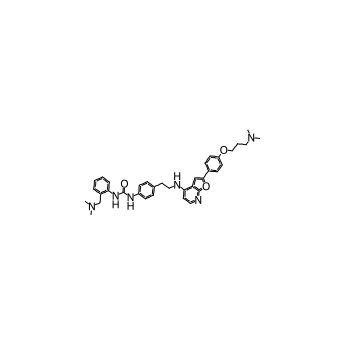 CN(C)CCCOc1ccc(-c2cc3c(NCCc4ccc(NC(=O)Nc5ccccc5CN(C)C)cc4)ccnc3o2)cc1